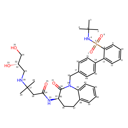 CC(C)(C)NS(=O)(=O)c1ccccc1-c1ccc(CN2C(=O)[C@H](NC(=O)CC(C)(C)NC[C@H](O)CO)CCc3ccccc32)cc1